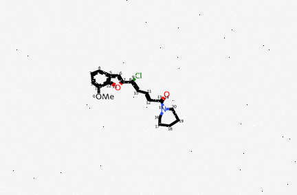 COc1cccc2cc(C(Cl)=CC=CC(=O)N3CCCCC3)oc12